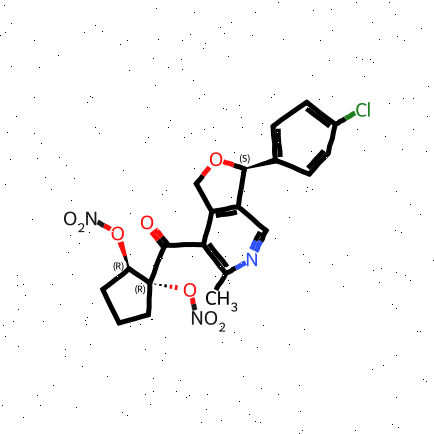 Cc1ncc2c(c1C(=O)[C@@]1(O[N+](=O)[O-])CCC[C@H]1O[N+](=O)[O-])CO[C@H]2c1ccc(Cl)cc1